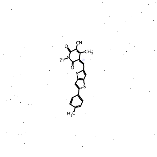 CCN1C(=O)C(C#N)=C(C)/C(=C/c2cc3sc(-c4ccc(C)cc4)cc3s2)C1=O